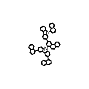 c1ccc2c(-c3ccc4c(c3)c3cc(-c5cccc6ccccc56)ccc3n4-c3cc(-c4ccc5c6ccccc6n(-c6cccc7ccccc67)c5c4)cc4c3ccc3ccccc34)cccc2c1